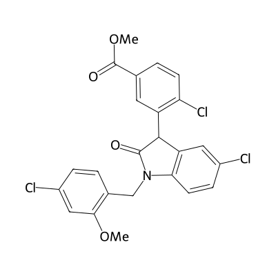 COC(=O)c1ccc(Cl)c(C2C(=O)N(Cc3ccc(Cl)cc3OC)c3ccc(Cl)cc32)c1